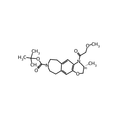 COCC(=O)N1c2cc3c(cc2OC[C@H]1C)CCN(C(=O)OC(C)(C)C)CC3